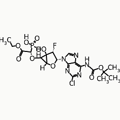 CCOC(=O)[C@@H](OC1[C@H]2O[C@@H](n3cnc4c(NC(=O)OC(C)(C)C)nc(Cl)nc43)[C@@H](F)[C@@]12O)P(=O)(O)O